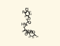 C=C(CCNC(=O)COc1ccc(Cl)c(F)c1)NC(=O)C1CCC(C)OO1